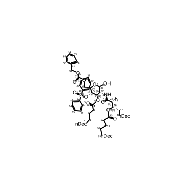 CCCCCCCCCCCCCC(=O)O[C@H]1[C@H](OP(=O)(c2ccccc2)c2ccccc2)[C@@H](COC(=O)OCc2ccccc2)OC(O)[C@@H]1NC(=O)[C@H](F)[C@H](CCCCCCCCCCC)OC(=O)CCCCCCCCCCCCC